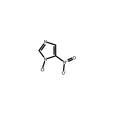 O=[N+]([O-])c1cncn1Cl